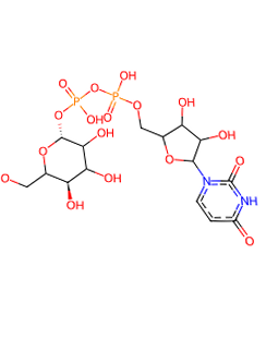 O=c1ccn(C2OC(COP(=O)(O)OP(=O)(O)O[C@H]3OC(CO)[C@H](O)C(O)C3O)C(O)C2O)c(=O)[nH]1